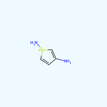 NC1=C[SH](N)C=C1